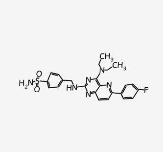 CCN(CC)c1nc(NCc2ccc(S(N)(=O)=O)cc2)nc2ccc(-c3ccc(F)cc3)nc12